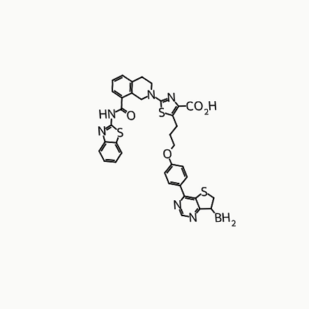 BC1CSc2c(-c3ccc(OCCCc4sc(N5CCc6cccc(C(=O)Nc7nc8ccccc8s7)c6C5)nc4C(=O)O)cc3)ncnc21